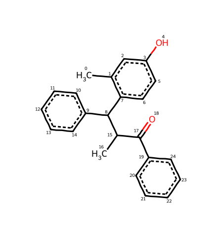 Cc1cc(O)ccc1C(c1ccccc1)C(C)C(=O)c1ccccc1